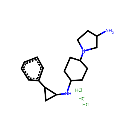 Cl.Cl.Cl.NC1CCN(C2CCC(NC3CC3c3ccccc3)CC2)C1